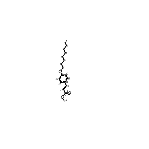 CCCCCCCCOc1ccc(C=CC(=O)OC)cc1